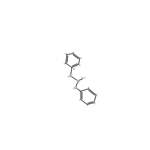 F[Si](Oc1ccccc1)Oc1ccccc1